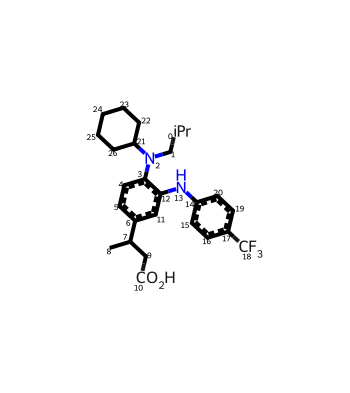 CC(C)CN(c1ccc(C(C)CC(=O)O)cc1Nc1ccc(C(F)(F)F)cc1)C1CCCCC1